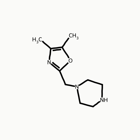 Cc1nc(CN2CCNCC2)oc1C